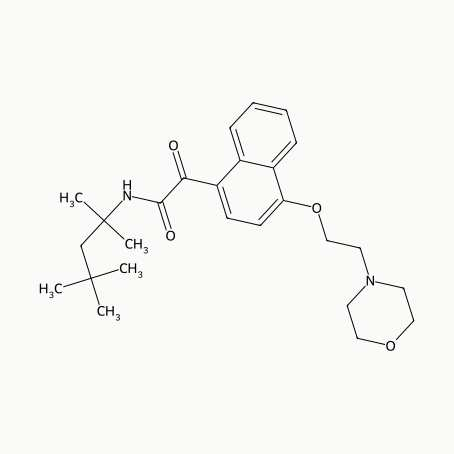 CC(C)(C)CC(C)(C)NC(=O)C(=O)c1ccc(OCCN2CCOCC2)c2ccccc12